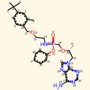 Cc1cc(C(C)(C)C)ccc1COCCNP(=O)(CO[C@H](C)Cn1cnc2c(N)ncnc21)Oc1ccccc1